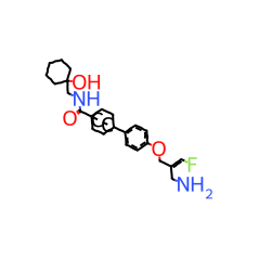 NCC(=CF)COc1ccc(C23CCC(C(=O)NCC4(O)CCCCC4)(CC2)CC3)cc1